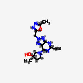 Cc1nnc(Cn2nc3nc(C(C)(C)C)nc(N4CC[C@@](C)(O)C4)c3n2)o1